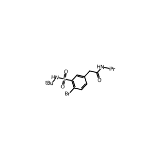 CC(C)NC(=O)Cc1ccc(Br)c(S(=O)(=O)NC(C)(C)C)c1